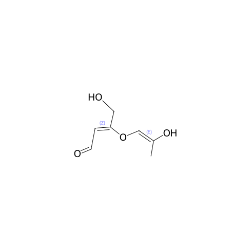 C/C(O)=C\O/C(=C\C=O)CO